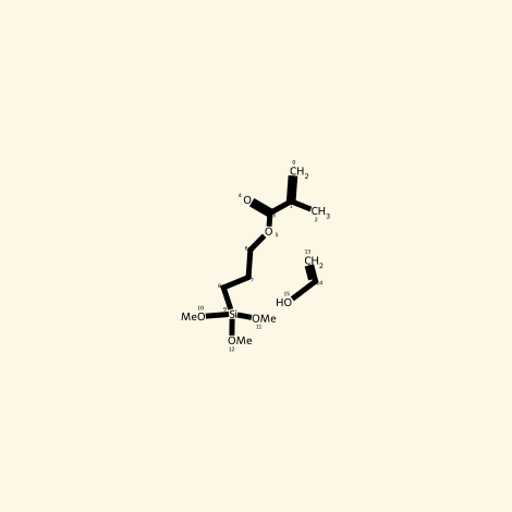 C=C(C)C(=O)OCCC[Si](OC)(OC)OC.C=CO